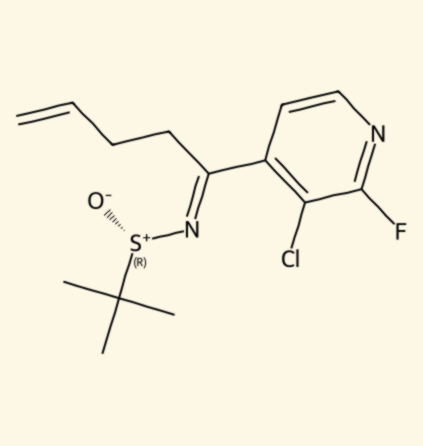 C=CCCC(=N[S@@+]([O-])C(C)(C)C)c1ccnc(F)c1Cl